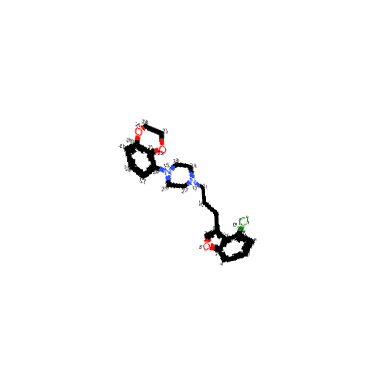 Clc1cccc2occ(CCCN3CCN(c4cccc5c4OCCO5)CC3)c12